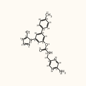 CCc1nnnn1-c1cc(OC(=O)NCc2cnc(N)cn2)cc(-c2ccc(C)cc2)c1